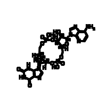 Nc1ccnc2c1ncn2[C@@H]1O[C@@H]2COP(=O)(O)O[C@@H]3[C@H](O)[C@@H](COP(=O)(O)O[C@H]2[C@H]1O)O[C@H]3n1cnc2c(=O)[nH]c(=O)[nH]c21